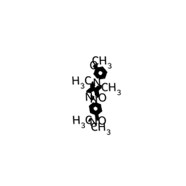 COc1cccc(-n2c(C)c3cnn(-c4ccc(C(=O)N(C)C)cc4)c(=O)c3c2C)c1